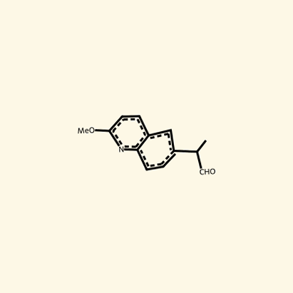 COc1ccc2cc(C(C)C=O)ccc2n1